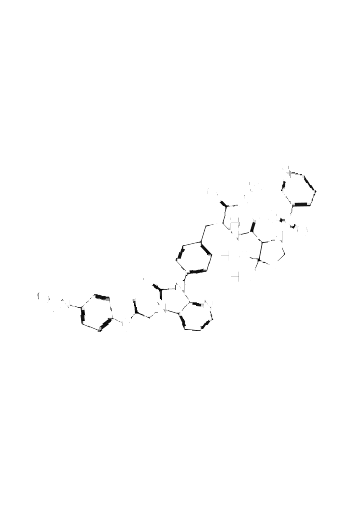 CC(C)(C)OC(=O)[C@H](Cc1ccc(-n2c(=O)n(CC(=O)Oc3ccc([N+](=O)[O-])cc3)c3cccnc32)cc1)NC(=O)C1N(S(=O)(=O)c2cccnc2)CSC1(C)C